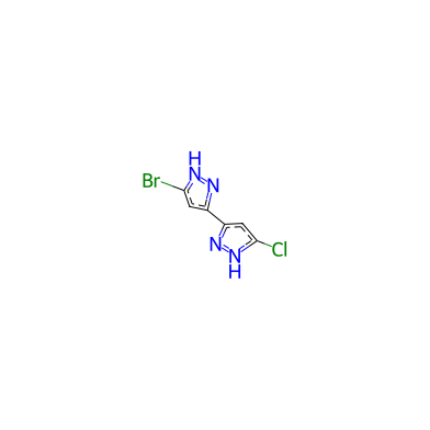 Clc1cc(-c2cc(Br)[nH]n2)n[nH]1